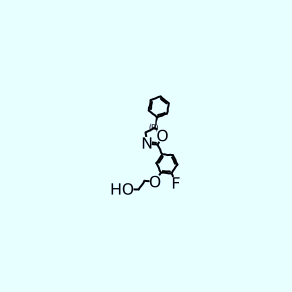 OCCOc1cc(C2=NC[C@@H](c3ccccc3)O2)ccc1F